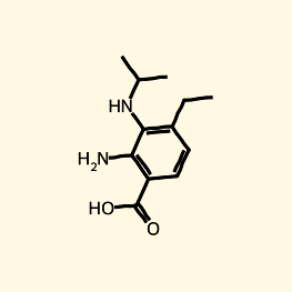 CCc1ccc(C(=O)O)c(N)c1NC(C)C